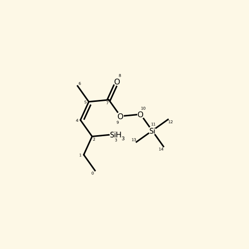 CCC([SiH3])C=C(C)C(=O)OO[Si](C)(C)C